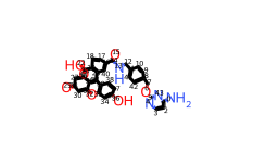 Nc1ccnc(OCc2ccc(CNC(=O)c3ccc(C(=O)O)c(-c4c5ccc(=O)cc-5oc5cc(O)ccc45)c3)cc2)n1